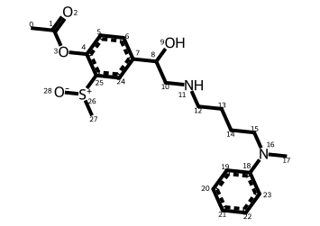 CC(=O)Oc1ccc(C(O)CNCCCCN(C)c2ccccc2)cc1[S+](C)[O-]